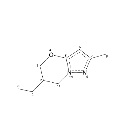 CCC1COc2cc(C)nn2C1